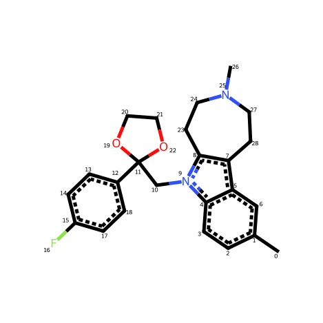 Cc1ccc2c(c1)c1c(n2CC2(c3ccc(F)cc3)OCCO2)CCN(C)CC1